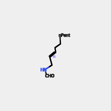 CCCCCCC/C=C/CNC=O